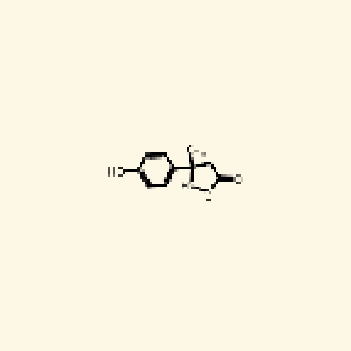 CC1(c2ccc(O)cc2)CC(=O)NN1